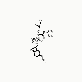 COc1ccc2[nH]cc(C[C@H](OC)C(=O)N[C@@H](CCC(=O)C=N)C(=O)OC(C)C)c2c1